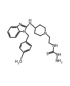 NNC(=S)NCCN1CCC(Nc2nc3ccccc3n2Cc2ccc(F)cc2)CC1.O